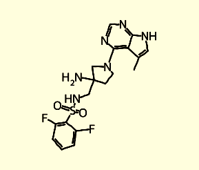 Cc1c[nH]c2ncnc(N3CCC(N)(CNS(=O)(=O)c4c(F)cccc4F)C3)c12